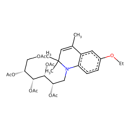 CCOc1ccc2c(c1)C(C)=CC(C)(C)N2C[C@H](OC(C)=O)[C@@H](OC(C)=O)[C@H](OC(C)=O)[C@@H](COC(C)=O)OC(C)=O